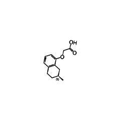 C[C@H]1CCc2cccc(OCC(=O)O)c2C1